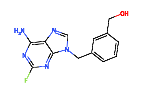 Nc1nc(F)nc2c1ncn2Cc1cccc(CO)c1